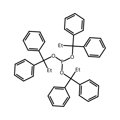 CCC(OP(OC(CC)(c1ccccc1)c1ccccc1)OC(CC)(c1ccccc1)c1ccccc1)(c1ccccc1)c1ccccc1